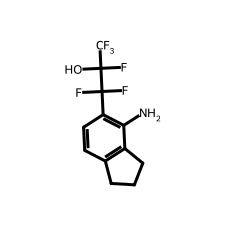 Nc1c(C(F)(F)C(O)(F)C(F)(F)F)ccc2c1CCC2